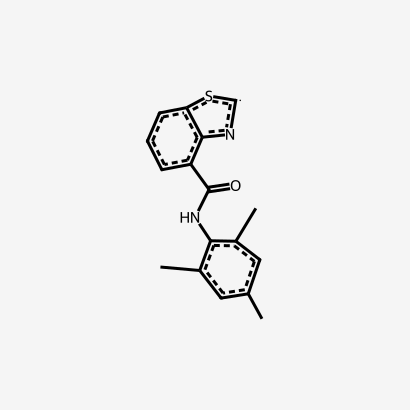 Cc1cc(C)c(NC(=O)c2cccc3s[c]nc23)c(C)c1